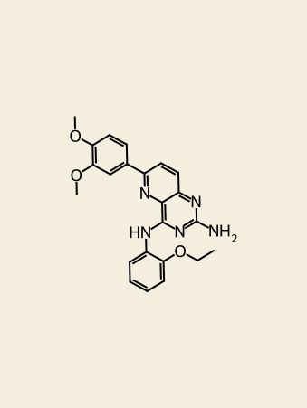 CCOc1ccccc1Nc1nc(N)nc2ccc(-c3ccc(OC)c(OC)c3)nc12